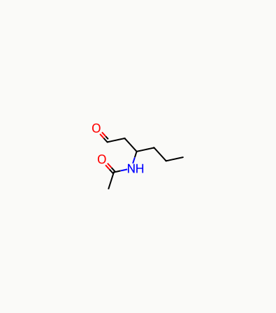 CCCC(CC=O)NC(C)=O